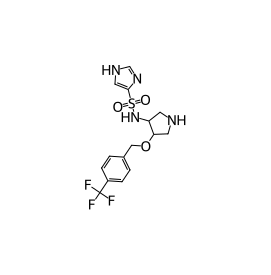 O=S(=O)(NC1CNCC1OCc1ccc(C(F)(F)F)cc1)c1c[nH]cn1